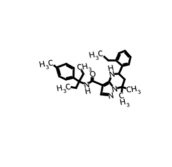 CCc1ccccc1C1CC(C)(C)n2ncc(C(=O)NC(CC)(CC)c3ccc(C)cc3)c2N1